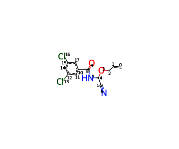 C=CCOC(C#N)NC(=O)c1cc(Cl)cc(Cl)c1